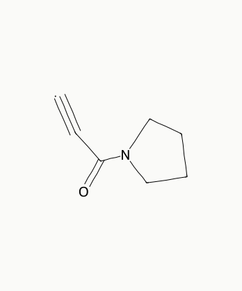 [C]#CC(=O)N1CCCC1